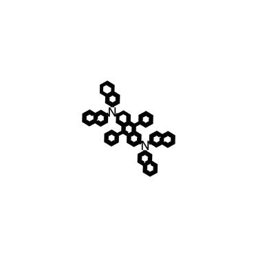 C1=Cc2ccc(N(c3ccc4ccccc4c3)C3C=c4c(-c5ccccc5)c5ccc(N(c6ccc7ccccc7c6)c6ccc7ccccc7c6)cc5c(-c5ccccc5)c4=CC3)cc2CC1